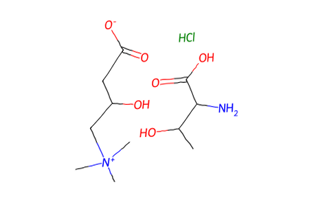 CC(O)C(N)C(=O)O.C[N+](C)(C)CC(O)CC(=O)[O-].Cl